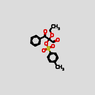 CCOC(C=O)(OS(=O)(=O)c1ccc(C)cc1)C(=O)c1ccccc1